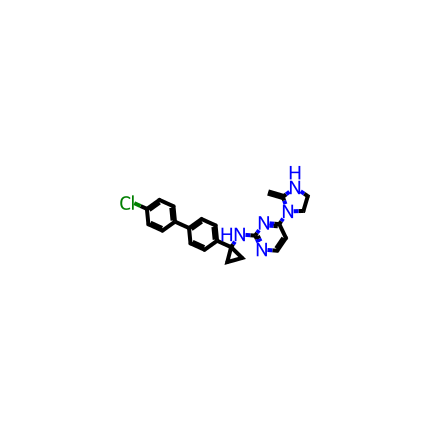 C=C1NCCN1c1ccnc(NC2(c3ccc(-c4ccc(Cl)cc4)cc3)CC2)n1